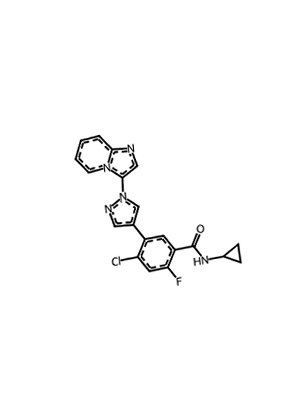 O=C(NC1CC1)c1cc(-c2cnn(-c3cnc4ccccn34)c2)c(Cl)cc1F